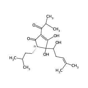 CC(C)=CCC(O)C1(O)C(O)=C(C(=O)C(C)C)C(=O)[C@H]1CCC(C)C